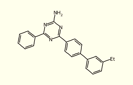 CCc1cccc(-c2ccc(-c3nc(N)nc(-c4ccccc4)n3)cc2)c1